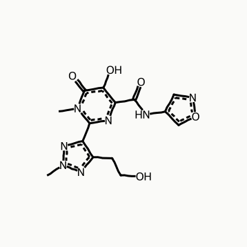 Cn1nc(CCO)c(-c2nc(C(=O)Nc3cnoc3)c(O)c(=O)n2C)n1